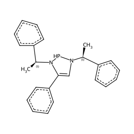 C[C@@H](c1ccccc1)N1C=C(c2ccccc2)N([C@@H](C)c2ccccc2)P1